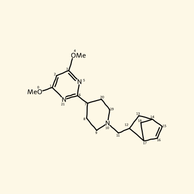 COc1cc(OC)nc(C2CCN(CC3CC4C=CC3C4)CC2)n1